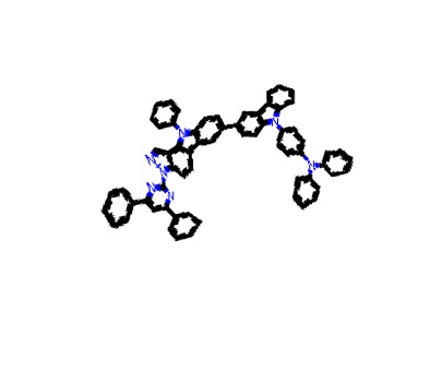 c1ccc(-c2cc(-c3ccccc3)nc(-n3ncc4c3ccc3c5cc(-c6ccc7c(c6)c6ccccc6n7-c6ccc(N(c7ccccc7)c7ccccc7)cc6)ccc5n(-c5ccccc5)c34)n2)cc1